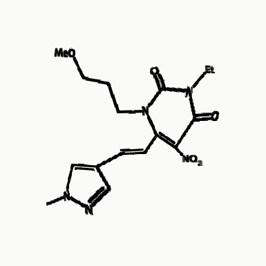 CCn1c(=O)c([N+](=O)[O-])c(C=Cc2cnn(C)c2)n(CCCOC)c1=O